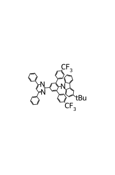 CC(C)(C)c1ccc2c(c1)c1ccccc1n2-c1c(-c2ccc(C(F)(F)F)cc2)cc(-c2nc(-c3ccccc3)cc(-c3ccccc3)n2)cc1-c1ccc(C(F)(F)F)cc1